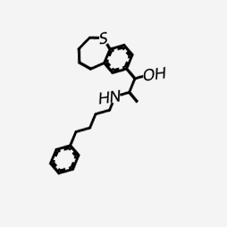 CC(NCCCCc1ccccc1)C(O)c1ccc2c(c1)CCCCS2